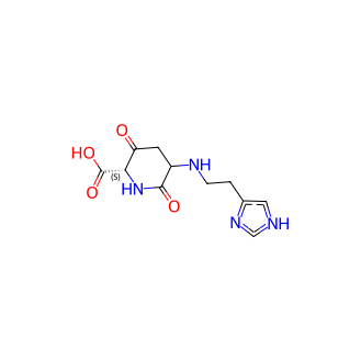 O=C1N[C@H](C(=O)O)C(=O)CC1NCCc1c[nH]cn1